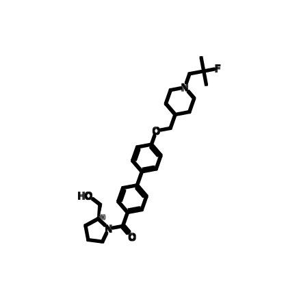 CC(C)(F)CN1CCC(COc2ccc(-c3ccc(C(=O)N4CCC[C@H]4CO)cc3)cc2)CC1